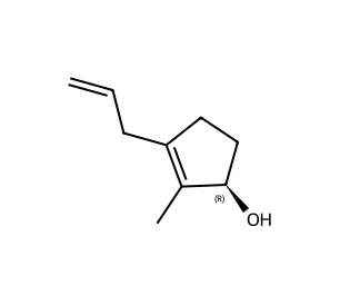 C=CCC1=C(C)[C@H](O)CC1